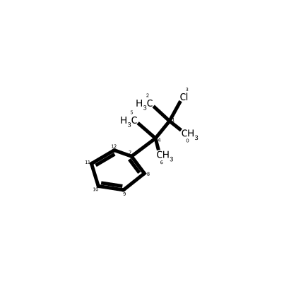 CC(C)(Cl)C(C)(C)c1ccccc1